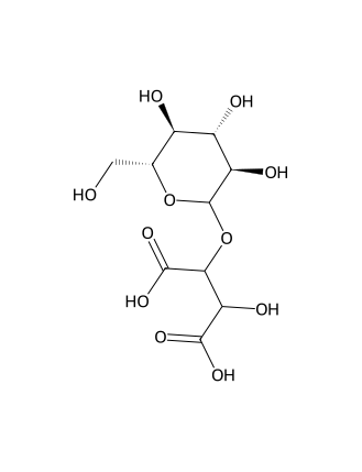 O=C(O)C(O)C(OC1O[C@H](CO)[C@@H](O)[C@H](O)[C@H]1O)C(=O)O